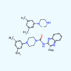 COc1nc2ccccc2nc1NC(=O)N1CCN(c2cc(C)cc(C)c2)CC1.Cc1cc(C)cc(N2CCNCC2)c1